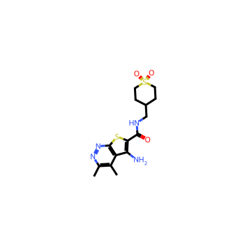 Cc1nnc2sc(C(=O)NCC3CCS(=O)(=O)CC3)c(N)c2c1C